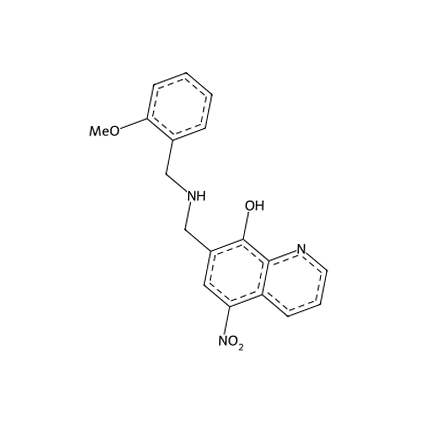 COc1ccccc1CNCc1cc([N+](=O)[O-])c2cccnc2c1O